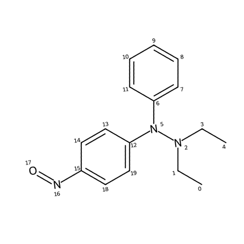 CCN(CC)N(c1ccccc1)c1ccc(N=O)cc1